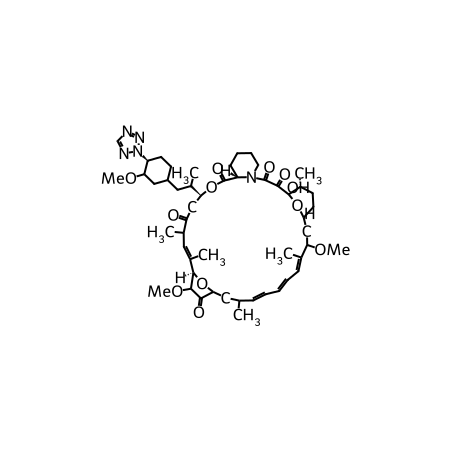 COC1C[C@@H]2CC[C@@H](C)[C@@](O)(O2)C(=O)C(=O)N2CCCC[C@H]2C(=O)O[C@H](C(C)CC2CC[C@H](n3ncnn3)C(OC)C2)CC(=O)C(C)/C=C(\C)[C@H]2OC(CC(C)/C=C/C=C/C=C/1C)C(=O)C2OC